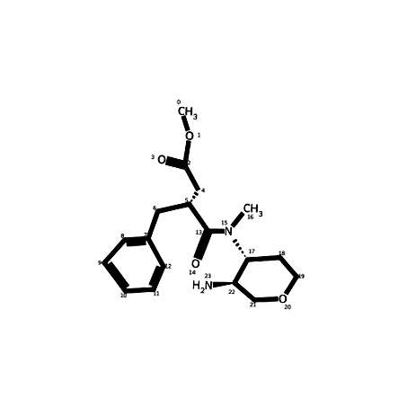 COC(=O)C[C@@H](Cc1ccccc1)C(=O)N(C)[C@@H]1CCOC[C@H]1N